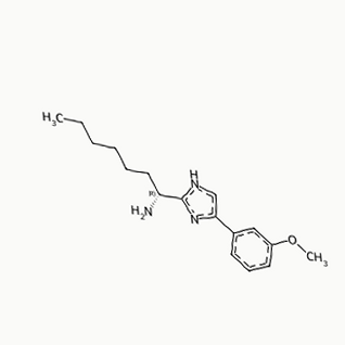 CCCCCC[C@@H](N)c1nc(-c2cccc(OC)c2)c[nH]1